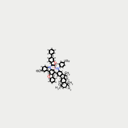 CC(C)(C)c1ccc(Nc2cc3c(cc2-c2c4c5c(c6cc(C(C)(C)C)ccc6n5-c5c(oc6cc(-c7ccccc7)ccc56)B4)c4oc5ccccc5c24)-c2cc4c(cc2C3(C)C)C(C)(C)CCC4(C)C)cc1